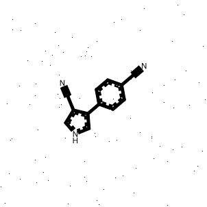 N#Cc1ccc(-c2c[nH]cc2C#N)cc1